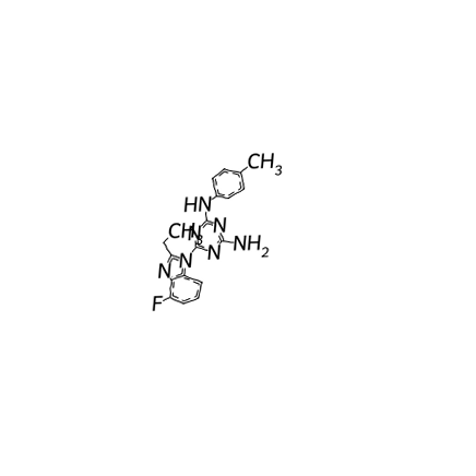 CCc1nc2c(F)cccc2n1-c1nc(N)nc(Nc2ccc(C)cc2)n1